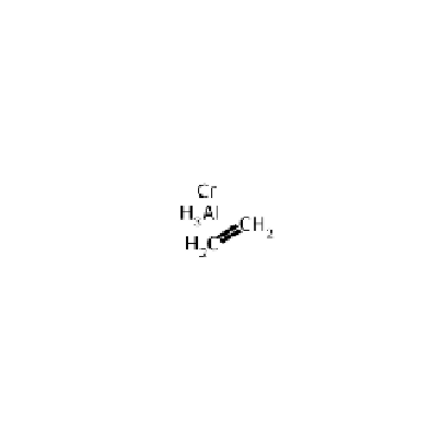 C=C.[AlH3].[Cr]